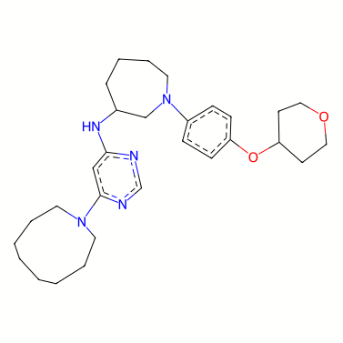 c1nc(NC2CCCCN(c3ccc(OC4CCOCC4)cc3)C2)cc(N2CCCCCCCC2)n1